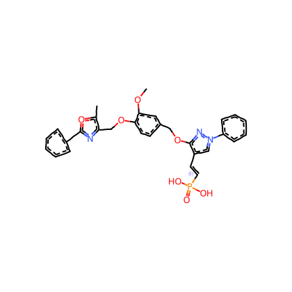 COc1cc(COc2nn(-c3ccccc3)cc2/C=C/P(=O)(O)O)ccc1OCc1nc(-c2ccccc2)oc1C